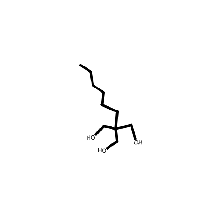 CCCCCCC(CO)(CO)CO